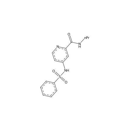 CCCNC(=O)c1cc(NS(=O)(=O)c2ccccc2)ccn1